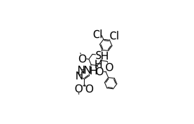 COC(=O)c1cn([C@@H]2[C@H]3OC(c4ccccc4)OC[C@H]3[SH](c3ccc(Cl)c(Cl)c3)C[C@@H]2OC)nn1